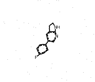 Fc1ccc(-c2cnc3c(c2)CCN3)cc1